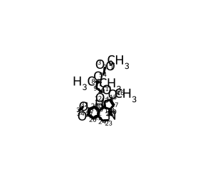 COC(=O)COC(C)(C)CC(=O)OC1C(OC)=C[C@]23CCCN2CCc2cc4c(cc2[C@H]13)OCO4